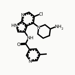 Cc1cncc(C(=O)Nc2c[nH]c3ncc(Cl)c(N4CCCC(N)C4)c23)c1